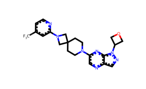 FC(F)(F)c1ccnc(N2CC3(CCN(c4cnc5cnn(C6COC6)c5n4)CC3)C2)c1